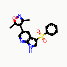 Cc1noc(C)c1-c1cnc2[nH]cc(S(=O)(=O)c3ccccc3)c2c1